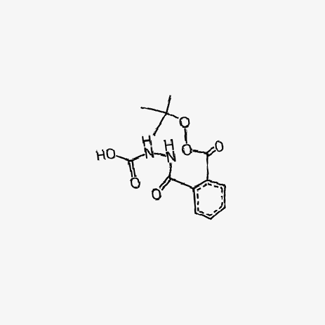 CC(C)(C)OOC(=O)c1ccccc1C(=O)NNC(=O)O